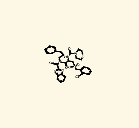 O=C(NC(CS(=O)(=O)Cc1ccccc1Cl)C(=O)N(CCCc1ccccc1)C(=O)c1nc2ccccc2o1)N1CCOCC1